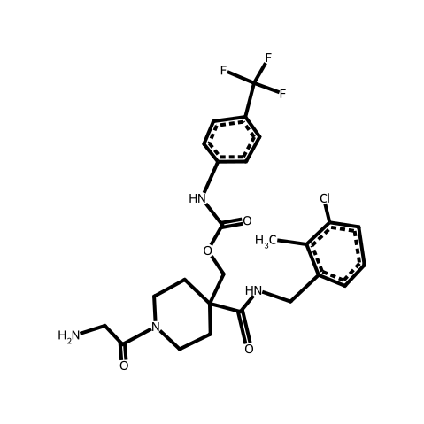 Cc1c(Cl)cccc1CNC(=O)C1(COC(=O)Nc2ccc(C(F)(F)F)cc2)CCN(C(=O)CN)CC1